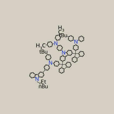 CCCCC(CC)Cn1c2ccccc2c2cc(-c3ccc(N(c4ccc(C(C)(C)C)cc4)c4ccc(C5(c6ccc7c(c6)c6cc(C8(c9ccc(N(c%10ccccc%10)c%10ccc(C(C)(C)C)cc%10)cc9)c9ccccc9-c9ccccc98)ccc6n7-c6ccc(N(c7ccc(C)cc7)c7ccc(C)cc7)cc6)c6ccccc6-c6ccccc65)cc4)cc3)ccc21